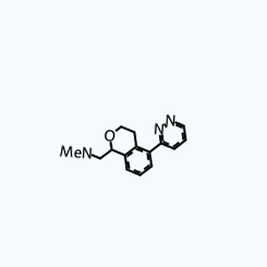 CNCC1OCCc2c(-c3cccnn3)cccc21